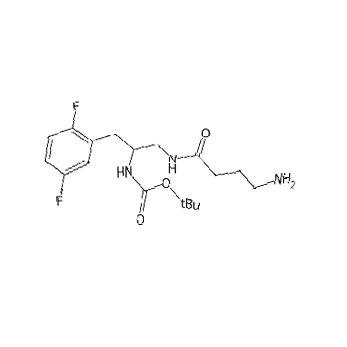 CC(C)(C)OC(=O)NC(CNC(=O)CCCN)Cc1cc(F)ccc1F